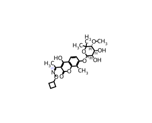 CO[C@@H]1[C@@H](O)[C@@H](O)[C@H](Oc2ccc3c(O)c(/C(C)=N\OC4CCC4)c(=O)oc3c2C)OC1(C)C